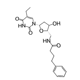 CCc1cn([C@@H]2CC(O)[C@H](CNC(=O)CCCc3ccccc3)O2)c(=O)[nH]c1=O